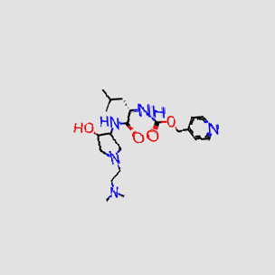 CC(C)C[C@H](NC(=O)OCc1ccncc1)C(=O)NC1CN(CCN(C)C)CC1O